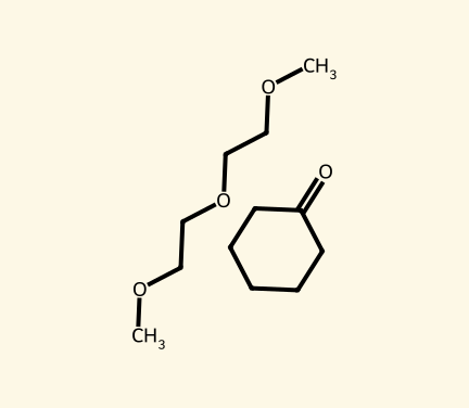 COCCOCCOC.O=C1CCCCC1